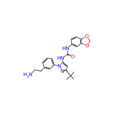 CC(C)(C)c1cc(NC(=O)Nc2ccc3c(c2)OCO3)n(-c2cccc(CCN)c2)n1